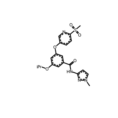 CC(C)Oc1cc(Oc2ccc(S(C)(=O)=O)nc2)cc(C(=O)Nc2ccn(C)n2)c1